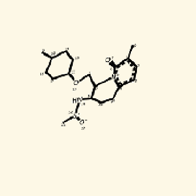 Cc1ccc2n(c1=O)C(COC1CCC(C)CC1)C(N[S+](C)[O-])CC2